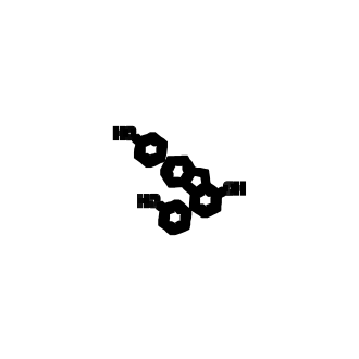 Oc1cccc2c1Cc1ccccc1-2.Oc1ccccc1.Oc1ccccc1